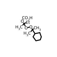 CCC(C)(OOC(C)(C)C1CCCCC1)OC(=O)O